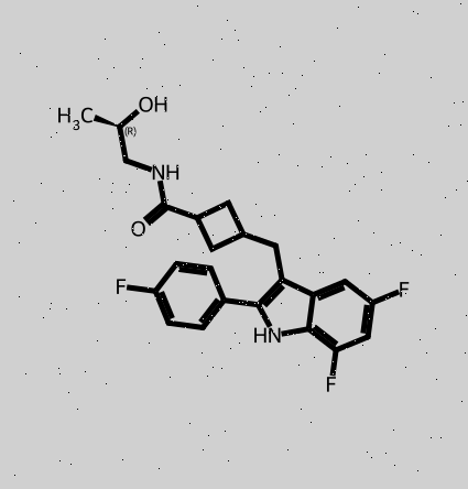 C[C@@H](O)CNC(=O)C1CC(Cc2c(-c3ccc(F)cc3)[nH]c3c(F)cc(F)cc23)C1